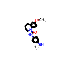 CNc1ccc(NC(=O)N2CCCCc3cc(OC)ccc32)cc1